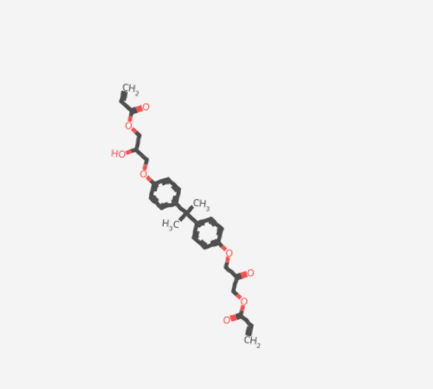 C=CC(=O)OCC(=O)COc1ccc(C(C)(C)c2ccc(OCC(O)COC(=O)C=C)cc2)cc1